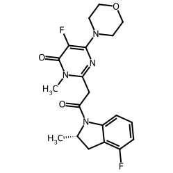 C[C@H]1Cc2c(F)cccc2N1C(=O)Cc1nc(N2CCOCC2)c(F)c(=O)n1C